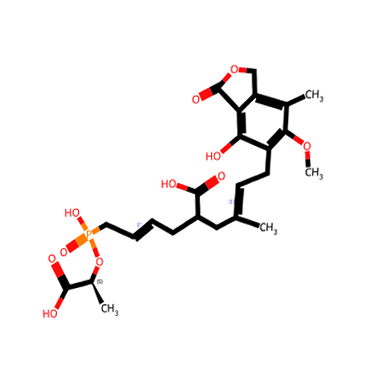 COc1c(C)c2c(c(O)c1C/C=C(\C)CC(C/C=C/CP(=O)(O)O[C@@H](C)C(=O)O)C(=O)O)C(=O)OC2